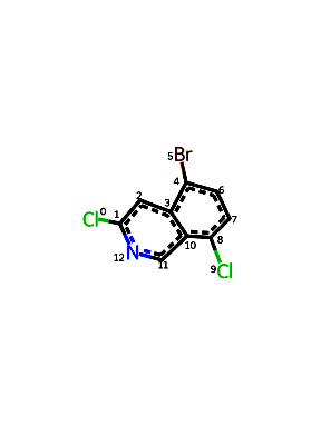 Clc1cc2c(Br)ccc(Cl)c2cn1